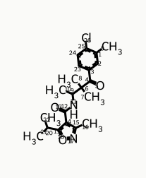 Cc1cc(C(=O)C(C)(C)C(C)NC(=O)c2c(C)noc2C(C)C)ccc1Cl